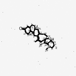 CC1=C2C[C@H]3[C@@H](CCC4=CC(=O)CC[C@@]43C)CC2CC[C@@]2(C1)O[C@@H]1C[C@H](C)CN(C)C1[C@H]2C